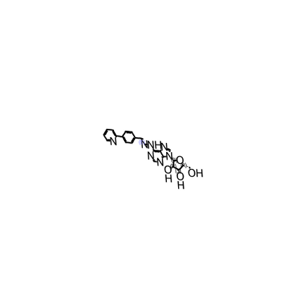 OC[C@H]1O[C@@H](n2cnc3c(N/N=C/c4ccc(-c5ccccn5)cc4)ncnc32)[C@H](O)[C@@H]1O